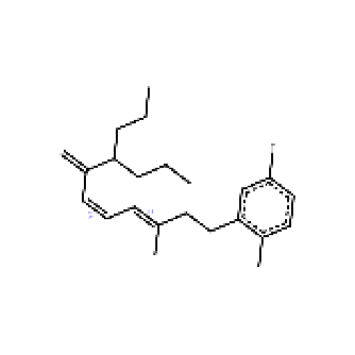 C=C(/C=C\C=C(/C)CCc1cc(F)ccc1C)C(CCC)CCC